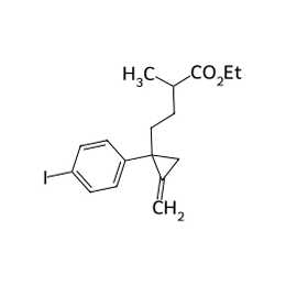 C=C1CC1(CCC(C)C(=O)OCC)c1ccc(I)cc1